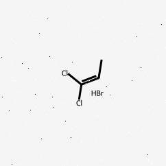 Br.CC=C(Cl)Cl